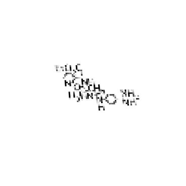 CCOC(=O)CC(NC(=O)C(C)(C)NC(=O)Nc1ccc(C(=N)N)cc1)c1cccnc1